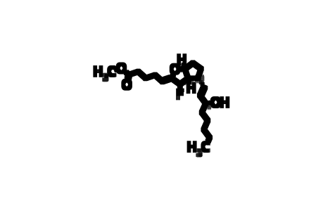 CCCCC[C@H](O)C=C[C@H]1CC[C@@H]2OC(=CCCCC(=O)OC)C(F)[C@@H]21